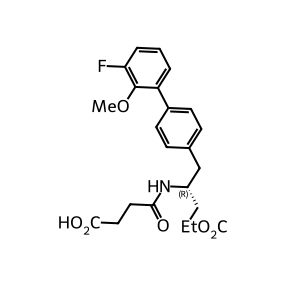 CCOC(=O)C[C@@H](Cc1ccc(-c2cccc(F)c2OC)cc1)NC(=O)CCC(=O)O